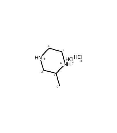 CC1CNCCN1.Cl.Cl